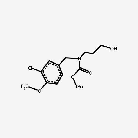 CC(C)(C)OC(=O)N(CCCO)Cc1ccc(OC(F)(F)F)c(Cl)c1